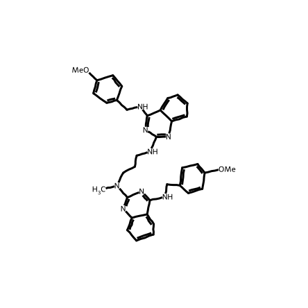 COc1ccc(CNc2nc(NCCCN(C)c3nc(NCc4ccc(OC)cc4)c4ccccc4n3)nc3ccccc23)cc1